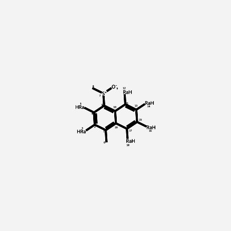 Cc1[c]([RaH])[c]([RaH])c([S+](C)[O-])c2[c]([RaH])[c]([RaH])[c]([RaH])[c]([RaH])c12